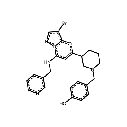 Oc1ccc(CN2CCCC(c3cc(NCc4cccnc4)n4ncc(Br)c4n3)C2)cc1